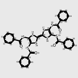 O=C(SC1=C(SC(=O)c2ccccc2)SC(=C2SC(SC(=O)c3ccccc3)=C(SC(=O)c3ccccc3)S2)S1)c1ccccc1